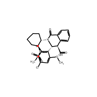 COc1cc(Cl)cc(Cl)c1[C@H]1[C@H](C(=O)O)c2ccccc2C(=O)N1[C@H]1CCCC[C@@H]1NS(C)(=O)=O